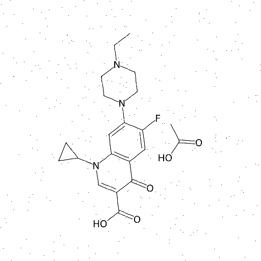 CC(=O)O.CCN1CCN(c2cc3c(cc2F)c(=O)c(C(=O)O)cn3C2CC2)CC1